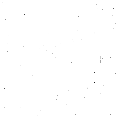 CCCC(C)c1ccc(NCC(=O)NC)cc1